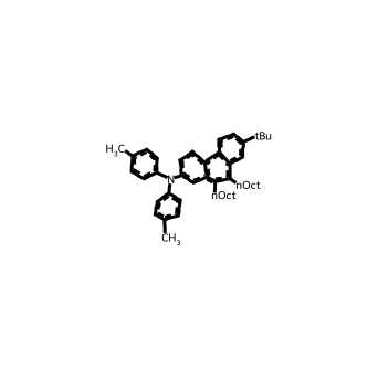 CCCCCCCCc1c(CCCCCCCC)c2cc(C(C)(C)C)ccc2c2ccc(N(c3ccc(C)cc3)c3ccc(C)cc3)cc12